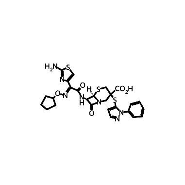 Nc1nc(C(=NOC2CCCC2)C(=O)N[C@@H]2C(=O)N3CC(Sc4ccnn4-c4ccccc4)(C(=O)O)CS[C@H]23)cs1